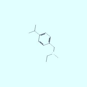 CCN(C)Cc1ccc(C(C)C)cc1